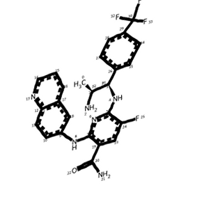 C[C@H](N)[C@H](Nc1nc(Nc2ccc3ncccc3c2)c(C(N)=O)cc1F)c1ccc(C(F)(F)F)cc1